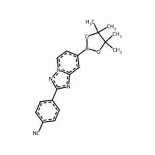 CC1(C)OB(c2ccn3nc(-c4ccc(C#N)cc4)nc3c2)OC1(C)C